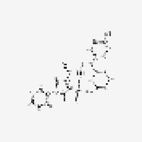 O=C(NCC(c1ccc(Cl)cc1)N1CCCCC1)C1=C(C(F)(F)F)NC(c2ncccn2)S1